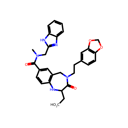 CN(Cc1nc2ccccc2[nH]1)C(=O)c1ccc2c(c1)CN(CCc1ccc3c(c1)OCO3)C(=O)C(CC(=O)O)N2